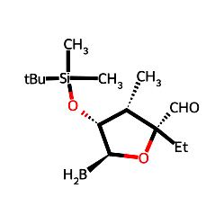 B[C@@H]1O[C@](C=O)(CC)[C@@H](C)[C@H]1O[Si](C)(C)C(C)(C)C